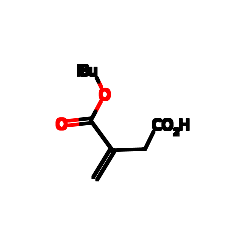 C=C(CC(=O)O)C(=O)OC(C)CC